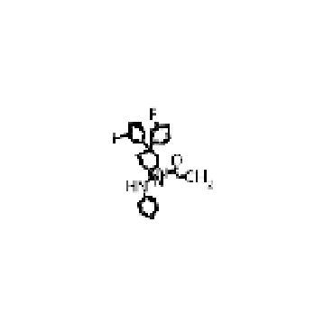 C=CC(=O)n1nc(Nc2ccccc2)c2c1CC(c1cccc(F)c1)(c1cccc(F)c1)C=C2